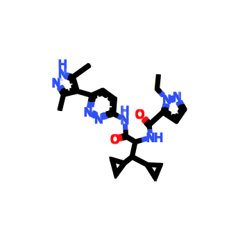 CCn1nccc1C(=O)NC(C(=O)Nc1ccc(-c2c(C)n[nH]c2C)nn1)C(C1CC1)C1CC1